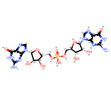 Nc1nc2c(ncn2[C@@H]2O[C@H](COP(=O)(O)OC[C@H]3O[C@@H](n4cnc5c(=O)[nH]c(N)nc54)[C@H](O)[C@@H]3O)[C@@H](O)[C@H]2O)c(=O)[nH]1